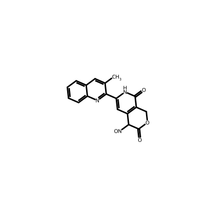 Cc1cc2ccccc2nc1-c1cc2c(c(=O)[nH]1)COC(=O)C2N=O